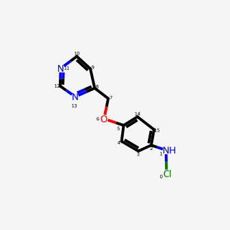 ClNc1ccc(OCc2ccncn2)cc1